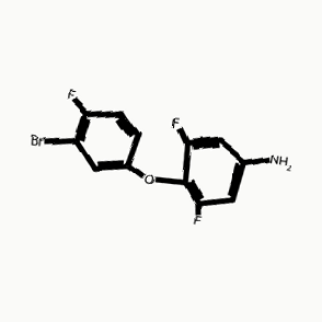 Nc1cc(F)c(Oc2ccc(F)c(Br)c2)c(F)c1